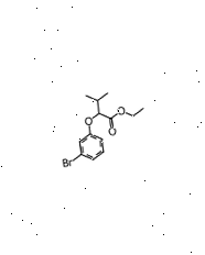 CCOC(=O)C(Oc1cccc(Br)c1)C(C)C